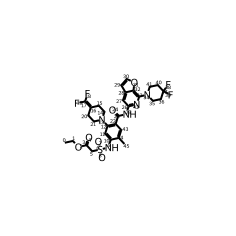 CCOC(=O)CS(=O)(=O)Nc1cc(N2CCC(=C(F)F)CC2)c(C(=O)Nc2cc3ccoc3c(N3CCC(F)(F)CC3)n2)cc1C